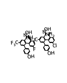 C#Cc1ccc(F)cc1-c1c(/C(N)=N/O)cc(C(F)(F)F)cc1-c1ccc(O)cc1.C=Cc1ccc(Cl)cc1-c1c(/C(N)=N/O)cc(C(F)(F)F)cc1-c1ccc(O)cc1